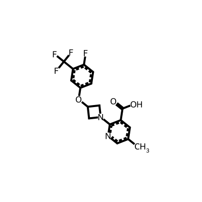 Cc1cnc(N2CC(Oc3ccc(F)c(C(F)(F)F)c3)C2)c(C(=O)O)c1